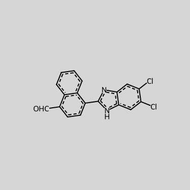 O=Cc1ccc(-c2nc3cc(Cl)c(Cl)cc3[nH]2)c2ccccc12